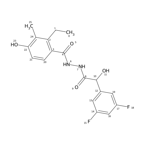 CCc1c(C(=O)NNC(=O)C(O)c2cc(F)cc(F)c2)ccc(O)c1C